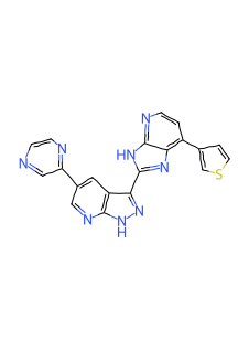 c1cnc(-c2cnc3[nH]nc(-c4nc5c(-c6ccsc6)ccnc5[nH]4)c3c2)cn1